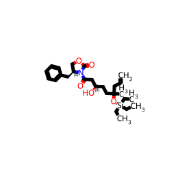 C=CCC(C)(CC[C@@H](O)CC(=O)N1C(=O)OC[C@@H]1Cc1ccccc1)O[Si](CC)(CC)CC